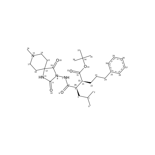 CC(C)C[C@@H](C(=O)NN1C(=O)NC2(CCN(C)CC2)C1=O)[C@H](CCCc1ccccc1)C(=O)OC(C)(C)C